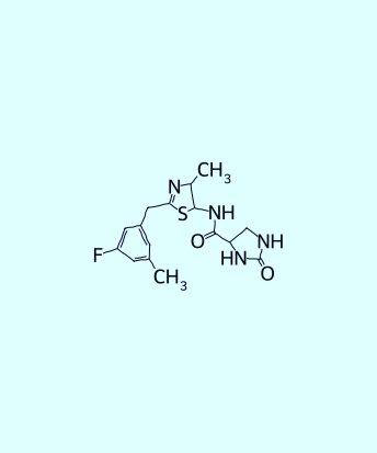 Cc1cc(F)cc(CC2=NC(C)C(NC(=O)C3CNC(=O)N3)S2)c1